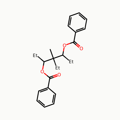 CCC(OC(=O)c1ccccc1)C(C)(CC)C(CC)OC(=O)c1ccccc1